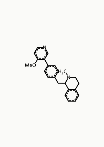 COc1ccncc1-c1ccc(CC2c3ccccc3CCN2C)cc1